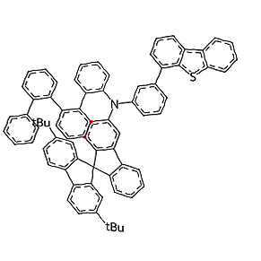 CC(C)(C)c1ccc2c(c1)C1(c3ccccc3-c3cc(N(c4cccc(-c5cccc6c5sc5ccccc56)c4)c4ccccc4-c4ccccc4-c4ccccc4-c4ccccc4)ccc31)c1cc(C(C)(C)C)ccc1-2